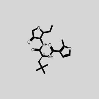 CCC1OCC(=O)C1NC(=O)[C@H](CC(C)(C)C)NC(=O)c1ccoc1C